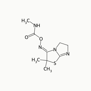 CNC(=O)ON=C1N2CCN=C2SC1(C)C